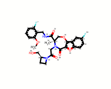 COc1cccc(F)c1CNC(=O)[C@@]1(C)COc2c(oc3ccc(F)cc23)C(=O)N1CC(=O)N1CC[C@H]1CO